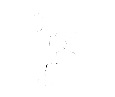 COC(=O)c1cc(F)c(N)c(NC[C@@H]2CCO2)c1